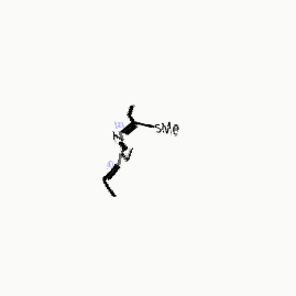 C/C=N/N=C(/C)SC